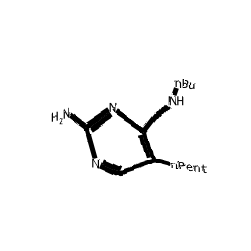 CCCCCc1cnc(N)nc1NCCCC